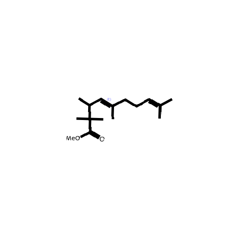 COC(=O)C(C)(C)C(C)/C=C(\C)CCC=C(C)C